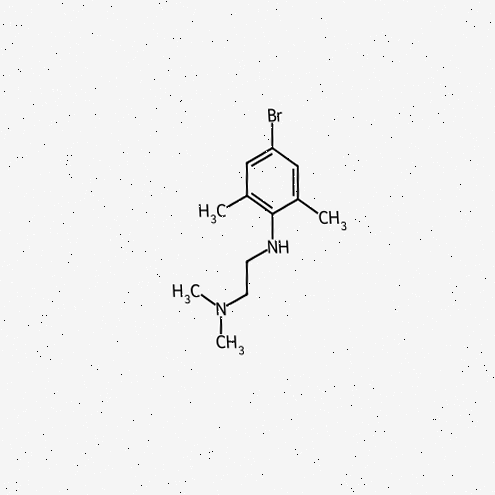 Cc1cc(Br)cc(C)c1NCCN(C)C